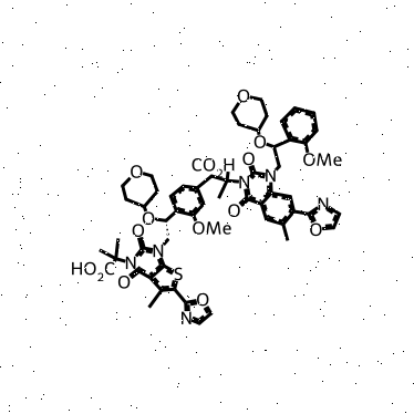 COc1ccccc1C(Cn1c(=O)n(C(C)(Cc2ccc([C@H](Cn3c(=O)n(C(C)(C)C(=O)O)c(=O)c4c(C)c(-c5ncco5)sc43)OC3CCOCC3)c(OC)c2)C(=O)O)c(=O)c2cc(C)c(-c3ncco3)cc21)OC1CCOCC1